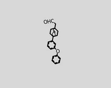 O=CCC12CCC(c3cccc(Oc4ccccc4)c3)(CC1)OC2